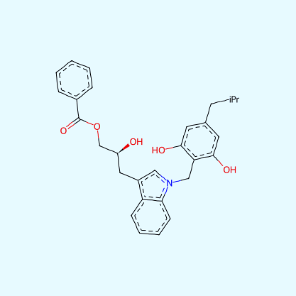 CC(C)Cc1cc(O)c(Cn2cc(C[C@H](O)COC(=O)c3ccccc3)c3ccccc32)c(O)c1